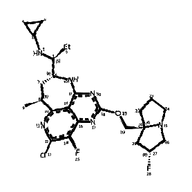 CC[C@H](NC1CC1)[C@H]1C[C@H](C)c2nc(Cl)c(F)c3nc(OC[C@@]45CCCN4C[C@H](F)C5)nc(c23)N1